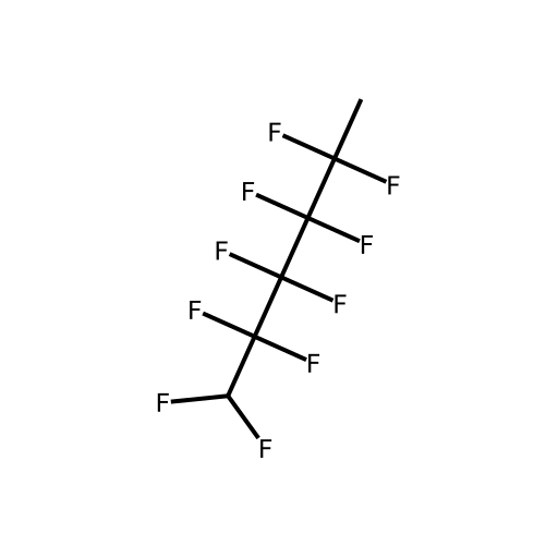 CC(F)(F)C(F)(F)C(F)(F)C(F)(F)C(F)F